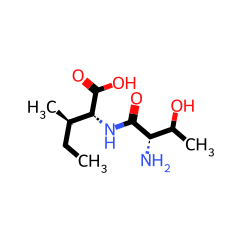 CC[C@@H](C)[C@@H](NC(=O)[C@@H](N)C(C)O)C(=O)O